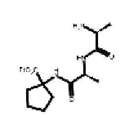 CCOC(=O)C1(NC(=O)[C@H](C)NC(=O)[C@H](C)N)CCCC1